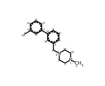 CN1CCN(Cc2cccc(-c3cccc(I)c3)c2)CC1